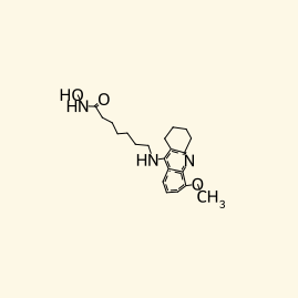 COc1cccc2c(NCCCCCCC(=O)NO)c3c(nc12)CCCC3